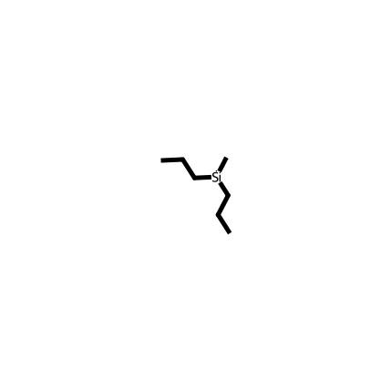 CCC[Si](C)CCC